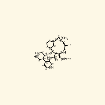 CCCCC/C=C1\NC/C(F)=C\[C@@]2(C)CC2C2CCCC(C2)C(N)C1C(=O)NC1=C(C2CCNNC2)C=CNC1